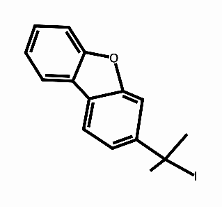 CC(C)(I)c1ccc2c(c1)oc1ccccc12